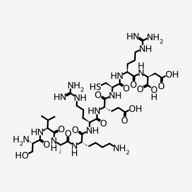 CC(C)[C@H](NC(=O)[C@@H](N)CO)C(=O)N[C@@H](C)C(=O)N[C@@H](CCCCN)C(=O)N[C@@H](CCCNC(=N)N)C(=O)N[C@@H](CCC(=O)O)C(=O)N[C@@H](CS)C(=O)N[C@@H](CCCNC(=N)N)C(=O)N[C@@H](CC(=O)O)C(=O)O